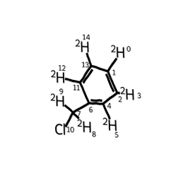 [2H]c1c([2H])c([2H])c(C([2H])([2H])Cl)c([2H])c1[2H]